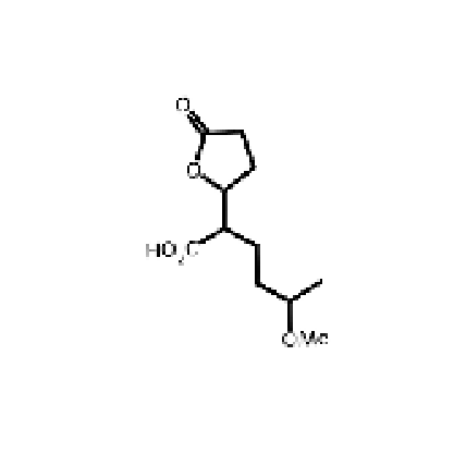 COC(C)CCC(C(=O)O)C1CCC(=O)O1